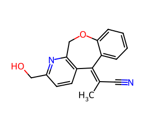 CC(C#N)=C1c2ccccc2OCc2nc(CO)ccc21